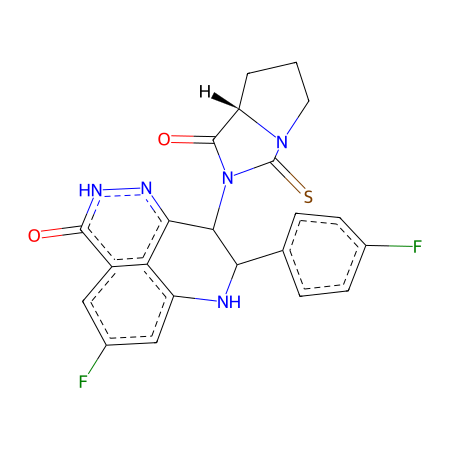 O=C1[C@@H]2CCCN2C(=S)N1C1c2n[nH]c(=O)c3cc(F)cc(c23)NC1c1ccc(F)cc1